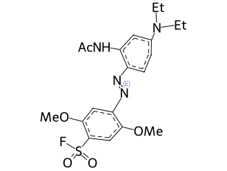 CCN(CC)c1ccc(/N=N/c2cc(OC)c(S(=O)(=O)F)cc2OC)c(NC(C)=O)c1